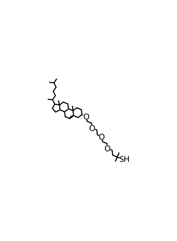 CC(C)CCCC(C)C1CCC2C3CC=C4C[C@@H](OCCOCCOCCOCCC(C)(C)S)CCC4(C)C3CCC12C